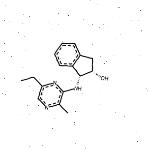 CCc1cnc(C)c(N[C@@H]2c3ccccc3C[C@@H]2O)n1